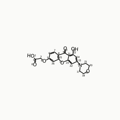 O=C(O)COc1ccc2c(=O)c3c(O)cc(N4CCOCC4)cc3oc2c1